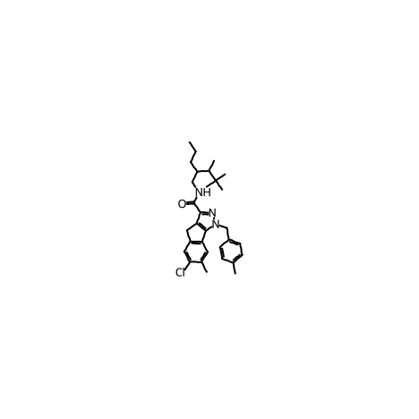 CCCC(CNC(=O)c1nn(Cc2ccc(C)cc2)c2c1Cc1cc(Cl)c(C)cc1-2)C(C)C(C)(C)C